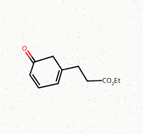 CCOC(=O)CCC1=CC=CC(=O)C1